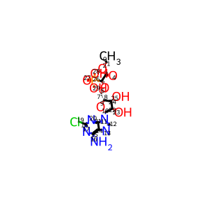 CCOC(=O)[C@@H](OC[C@H]1O[C@@H](n2cnc3c(N)nc(Cl)nc32)[C@H](O)[C@H]1O)P(=O)(O)O